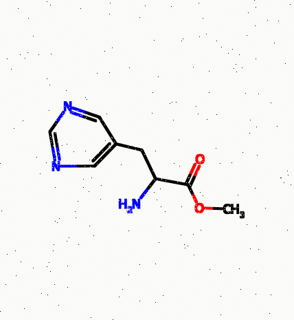 COC(=O)C(N)Cc1cncnc1